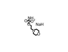 NS(=O)(=O)OCCN1CCOCC1.[NaH]